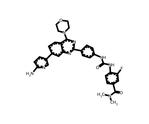 CN(C)C(=O)c1ccc(NC(=O)Nc2ccc(-c3nc(N4CCOCC4)c4ccc(-c5ccc(N)nc5)cc4n3)cc2)c(F)c1